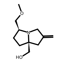 C=C1CN2[C@H](COC)CC[C@@]2(CO)C1